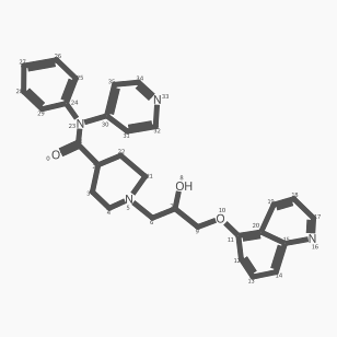 O=C(C1CCN(CC(O)COc2cccc3ncccc23)CC1)N(c1ccccc1)c1ccncc1